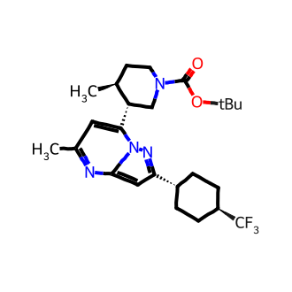 Cc1cc([C@H]2CN(C(=O)OC(C)(C)C)CC[C@@H]2C)n2nc([C@H]3CC[C@H](C(F)(F)F)CC3)cc2n1